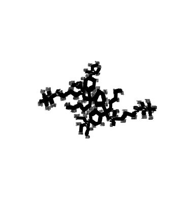 CCCCCC(C[Si](C)(C)CCCS[Si](C)(C)C(C)(C)C)(c1ccc([Si](CC)(CC)CC)cc1)c1cccc(C(CCCCC)(C[Si](C)(CCCS[Si](C)(C)C(C)(C)C)OC)c2ccc([Si](C)(CC)CC)cc2)c1